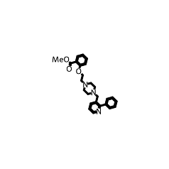 COC(=O)c1ccccc1OCCN1CCN(Cc2cccnc2-c2ccccc2)CC1